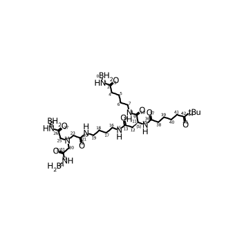 BNC(=O)CCCCNC(=O)[C@H](CC(=O)NCCCCNC(=O)CN(CC(=O)NB)CC(=O)NB)NC(=O)CCCCC(=O)C(C)(C)C